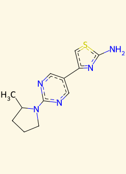 CC1CCCN1c1ncc(-c2csc(N)n2)cn1